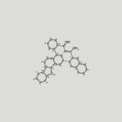 N=C(/N=C(\N)c1ccc2ccccc2c1)c1ccccc1-c1cccc2c1ccc1c3cnccc3oc21